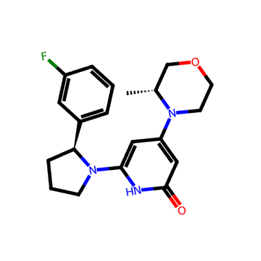 C[C@@H]1COCCN1c1cc(N2CCC[C@H]2c2cccc(F)c2)[nH]c(=O)c1